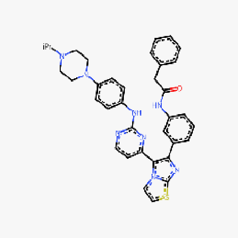 CC(C)N1CCN(c2ccc(Nc3nccc(-c4c(-c5cccc(NC(=O)Cc6ccccc6)c5)nc5sccn45)n3)cc2)CC1